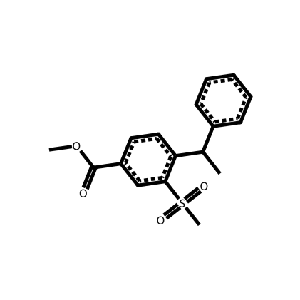 COC(=O)c1ccc(C(C)c2ccccc2)c(S(C)(=O)=O)c1